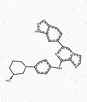 O[C@H]1CCCN(c2ccc(Nc3nc(-c4ccc5cn[nH]c5c4)cn4ccnc34)cc2)C1